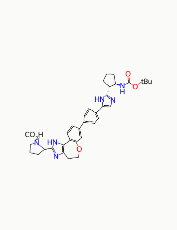 CC(C)(C)OC(=O)N[C@@H]1CCC[C@H]1c1ncc(-c2ccc(-c3ccc4c(c3)OCCc3nc(C5CCCN5C(=O)O)[nH]c3-4)cc2)[nH]1